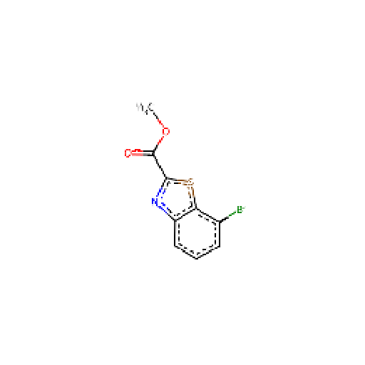 COC(=O)c1nc2cccc(Br)c2s1